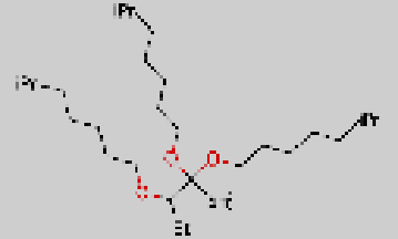 CCC(OCCCCCC(C)C)[C]([Sn])(OCCCCCC(C)C)OCCCCCC(C)C